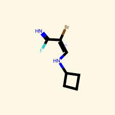 N=C(F)/C(Br)=C\NC1CCC1